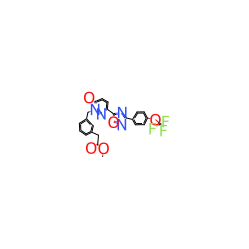 COC(=O)Cc1cccc(Cn2nc(-c3nc(-c4ccc(OC(F)(F)F)cc4)no3)ccc2=O)c1